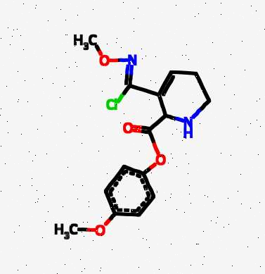 CON=C(Cl)C1=CCCNC1C(=O)Oc1ccc(OC)cc1